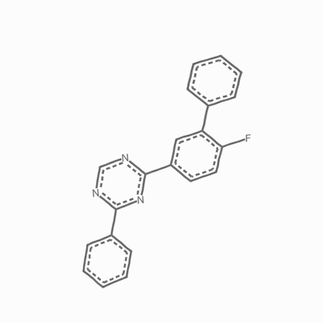 Fc1ccc(-c2ncnc(-c3ccccc3)n2)cc1-c1ccccc1